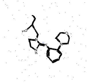 CCC(O)CN1CCN/C1=N\c1ccccc1N1CCOCC1